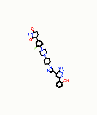 Nc1nnc(-c2ccccc2O)cc1-c1cnn([C@H]2CC[C@H](N3CCN(c4ccc(C5CCC(=O)NC5=O)cc4F)CC3)CC2)c1